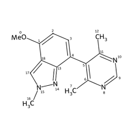 COc1ccc(-c2c(C)ncnc2C)c2nn(C)cc12